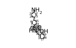 Nc1ccc(-c2ccc(S(=O)(=O)N[C@H](Cc3ccccc3)C(=O)O)cc2)cc1